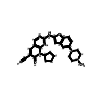 CN1CCN(c2ccc3oc(Nc4ncc5cc(C#N)c(=O)n(C6CCCC6)c5n4)cc3c2)CC1